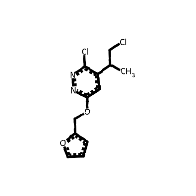 CC(CCl)c1cc(OCc2ccco2)nnc1Cl